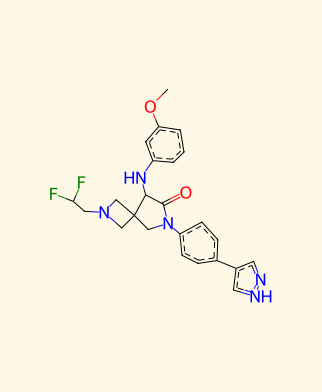 COc1cccc(NC2C(=O)N(c3ccc(-c4cn[nH]c4)cc3)CC23CN(CC(F)F)C3)c1